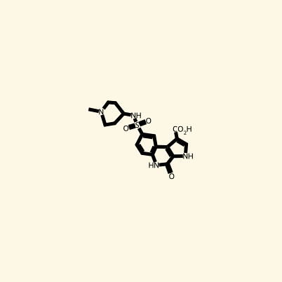 CN1CCC(NS(=O)(=O)c2ccc3[nH]c(=O)c4[nH]cc(C(=O)O)c4c3c2)CC1